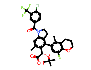 Cc1cc2c(c(-c3cc(F)c4c(c3C)CCCO4)c1[C@H](OC(C)(C)C)C(=O)O)CCN2C(=O)c1ccc(Cl)c(C(F)(F)F)c1